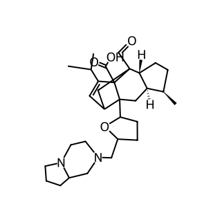 CC(C)C1=CC2CC3(C=O)[C@@H]4CC[C@@H](C)[C@H]4CC2(C2CCC(CN4CCN5CCCC5C4)O2)C13C(=O)O